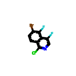 Fc1cnc(Cl)c2ccc(Br)c(F)c12